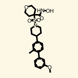 COc1cccc(-c2ccc(C3CCN(S(=O)(=O)C4(C(=O)NO)CCOCC4)CC3)cc2C)c1